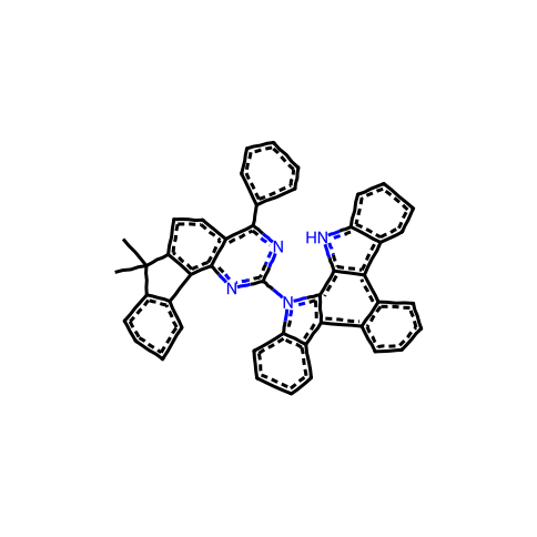 CC1(C)c2ccccc2-c2c1ccc1c(-c3ccccc3)nc(-n3c4ccccc4c4c5ccccc5c5c6ccccc6[nH]c5c43)nc21